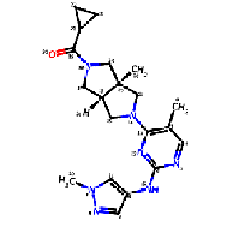 Cc1cnc(Nc2cnn(C)c2)nc1N1C[C@@H]2CN(C(=O)C3CC3)C[C@]2(C)C1